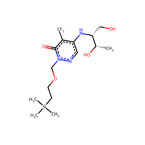 C[C@H](O)[C@@H](CO)Nc1cnn(COCC[Si](C)(C)C)c(=O)c1C(F)(F)F